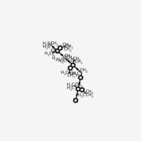 CC(C)(C#Cc1cc(C(C)(C)C)c(C#CC(C)(C)[Si](C)(C)C#Cc2cc(C(C)(C)C)c(C#C[Si](C)(C)C)c3ccc(C(C)(C)C)cc23)c2ccc(C(C)(C)C)cc12)Cc1ccc(C#Cc2c(C(C)(C)C)cc(C#Cc3ccccc3)c3cc(C(C)(C)C)ccc23)cc1